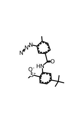 Cc1ccc(C(=O)Nc2cc(C(C)(C)C)ccc2[S+](C)[O-])cc1N=[N+]=[N-]